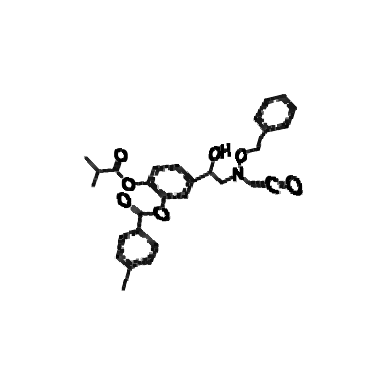 Cc1ccc(C(=O)Oc2cc(C(O)CN(C=C=O)OCc3ccccc3)ccc2OC(=O)C(C)C)cc1